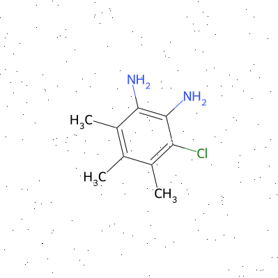 Cc1c(C)c(N)c(N)c(Cl)c1C